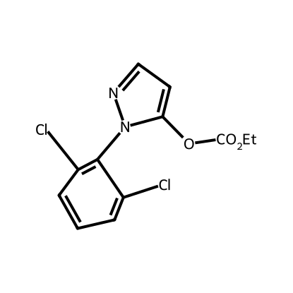 CCOC(=O)Oc1ccnn1-c1c(Cl)cccc1Cl